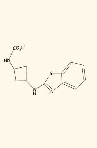 O=C(O)NC1CC(Nc2nc3ccccc3s2)C1